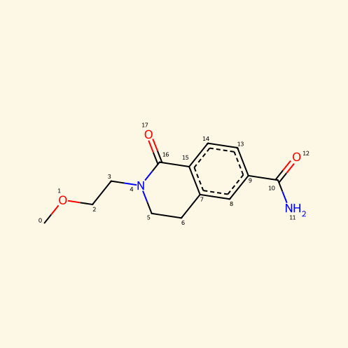 COCCN1CCc2cc(C(N)=O)ccc2C1=O